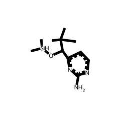 C[SiH](C)OC(c1ccnc(N)n1)C(C)(C)C